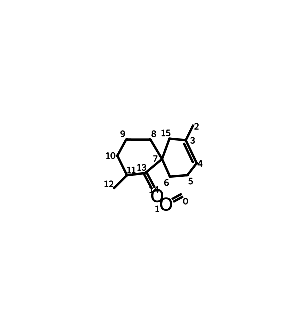 C=O.CC1=CCCC2(CCCC(C)C2=O)C1